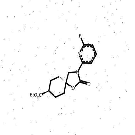 CCOC(=O)[C@H]1CC[C@]2(CC1)CN(c1cccc(F)n1)C(=O)O2